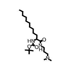 CCCCCCCCCCC(NC(=O)OC(C)(C)C)C(=O)NCCCN(C)C